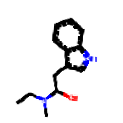 CCN(C)C(O)Cc1c[nH]c2ccccc12